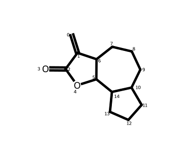 C=C1C(=O)OC2C1CCCC1CCCC12